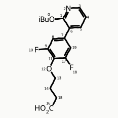 CC(C)COc1ncccc1-c1cc(F)c(OCCCC(=O)O)c(F)c1